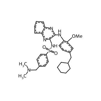 COc1cc(CC2CCCCC2)ccc1Nc1nc2ccccc2nc1NS(=O)(=O)c1ccc(CN(C)C)cc1